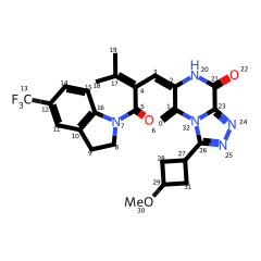 C=c1/c(=C\C(C(=O)N2CCc3cc(C(F)(F)F)ccc32)=C(C)C)[nH]c(=O)c2nnc(C3CC(OC)C3)n12